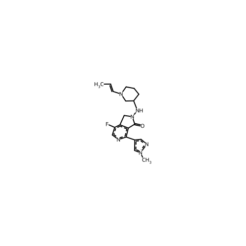 CC=CN1CCCC(NN2Cc3c(F)cnc(-c4cnn(C)c4)c3C2=O)C1